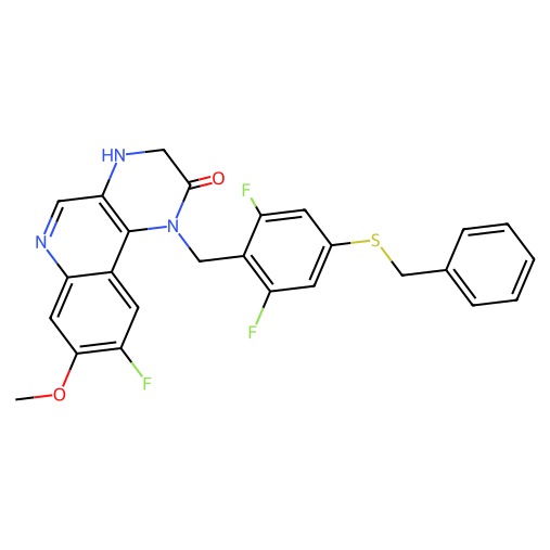 COc1cc2ncc3c(c2cc1F)N(Cc1c(F)cc(SCc2ccccc2)cc1F)C(=O)CN3